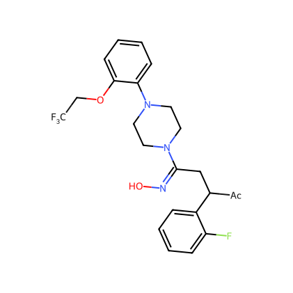 CC(=O)C(C/C(=N/O)N1CCN(c2ccccc2OCC(F)(F)F)CC1)c1ccccc1F